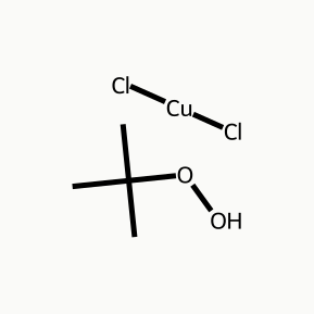 CC(C)(C)OO.[Cl][Cu][Cl]